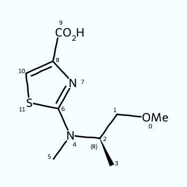 COC[C@@H](C)N(C)c1nc(C(=O)O)cs1